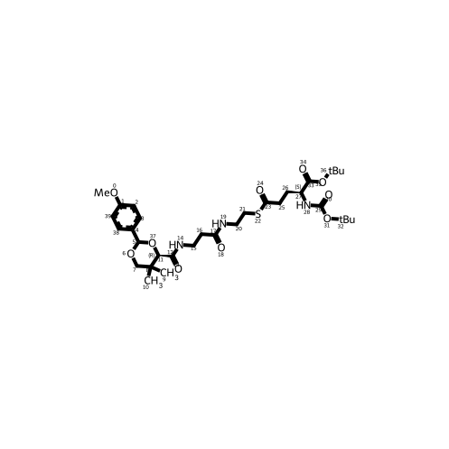 COc1ccc(C2OCC(C)(C)[C@H](C(=O)NCCC(=O)NCCSC(=O)CC[C@H](NC(=O)OC(C)(C)C)C(=O)OC(C)(C)C)O2)cc1